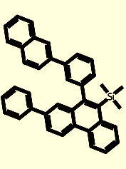 C[Si](C)(C)c1c(-c2cccc(-c3ccc4ccccc4c3)c2)c2cc(-c3ccccc3)ccc2c2ccccc12